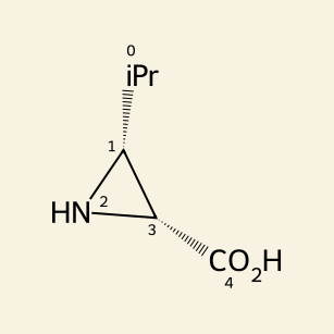 CC(C)[C@H]1N[C@H]1C(=O)O